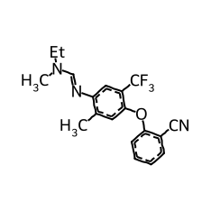 CCN(C)C=Nc1cc(C(F)(F)F)c(Oc2ccccc2C#N)cc1C